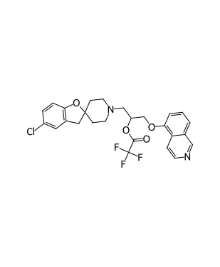 O=C(OC(COc1cccc2cnccc12)CN1CCC2(CC1)Cc1cc(Cl)ccc1O2)C(F)(F)F